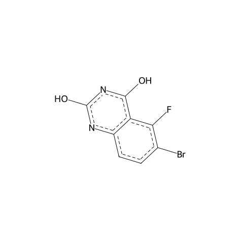 Oc1nc(O)c2c(F)c(Br)ccc2n1